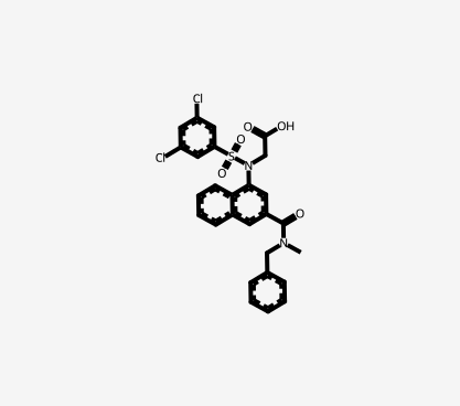 CN(Cc1ccccc1)C(=O)c1cc(N(CC(=O)O)S(=O)(=O)c2cc(Cl)cc(Cl)c2)c2ccccc2c1